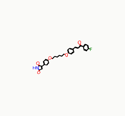 O=C1C=C(c2ccc(OCCCCCCOc3ccc(C=CC(=O)c4ccc(F)cc4)cc3)cc2)C(=O)N1